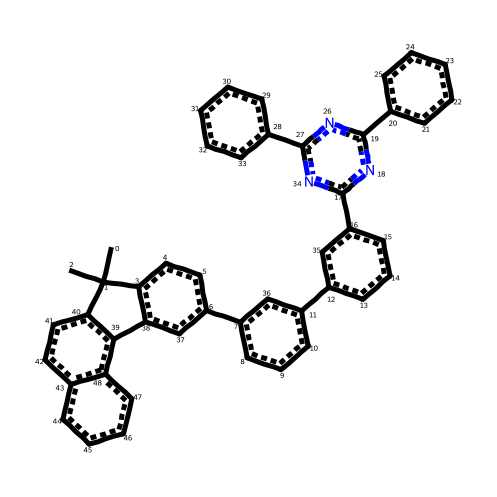 CC1(C)c2ccc(-c3cccc(-c4cccc(-c5nc(-c6ccccc6)nc(-c6ccccc6)n5)c4)c3)cc2-c2c1ccc1ccccc21